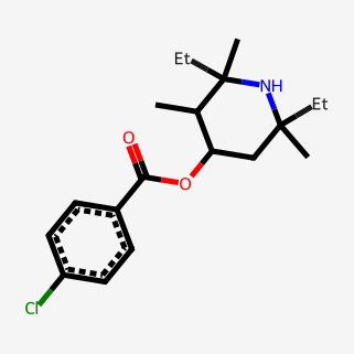 CCC1(C)CC(OC(=O)c2ccc(Cl)cc2)C(C)C(C)(CC)N1